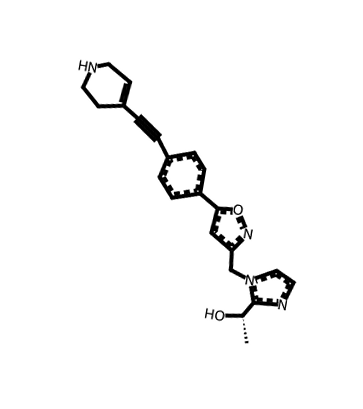 C[C@H](O)c1nccn1Cc1cc(-c2ccc(C#CC3=CCNCC3)cc2)on1